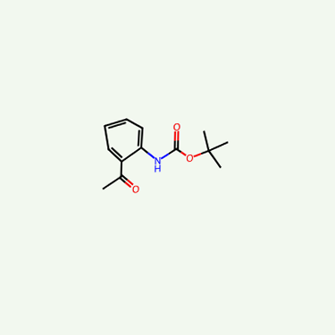 CC(=O)c1ccccc1NC(=O)OC(C)(C)C